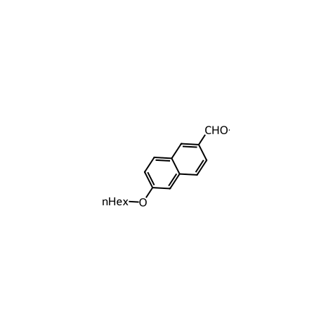 CCCCCCOc1ccc2cc([C]=O)ccc2c1